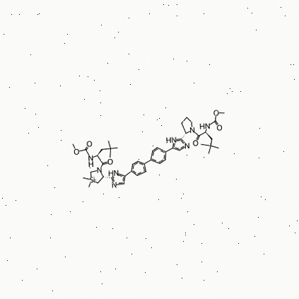 COC(=O)N[C@@H](CC(C)(C)C)C(=O)N1CCC[C@H]1c1ncc(-c2ccc(-c3ccc(-c4cnc([C@@H]5C[Si](C)(C)CN5C(=O)[C@H](CC(C)(C)C)NC(=O)OC)[nH]4)cc3)cc2)[nH]1